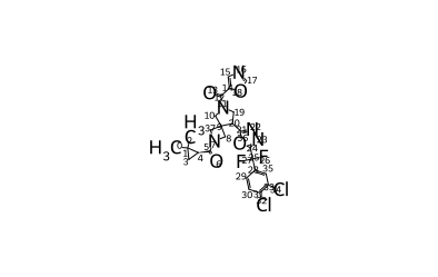 CC1(C)C[C@@H]1C(=O)N1CC2(CN(C(=O)c3cnco3)CC2c2nnc(C(F)(F)c3ccc(Cl)c(Cl)c3)o2)C1